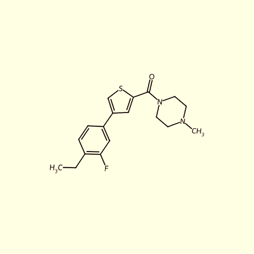 CCc1ccc(-c2csc(C(=O)N3CCN(C)CC3)c2)cc1F